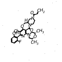 C=CC(=O)N1CCN2C(=O)c3c(N4C[C@@H](C)O[C@@H](C)C4)nc(-c4c(O)cccc4F)c(Cl)c3OC[C@H]2C1